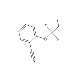 N#Cc1ccccc1OC(F)(F)CF